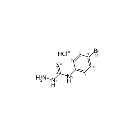 Cl.NNC(=S)Nc1ccc(Br)cc1